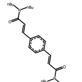 CCCCN(CCCC)C(=O)C=Cc1ccc(C=CC(=O)N(CCCC)CCCC)cc1